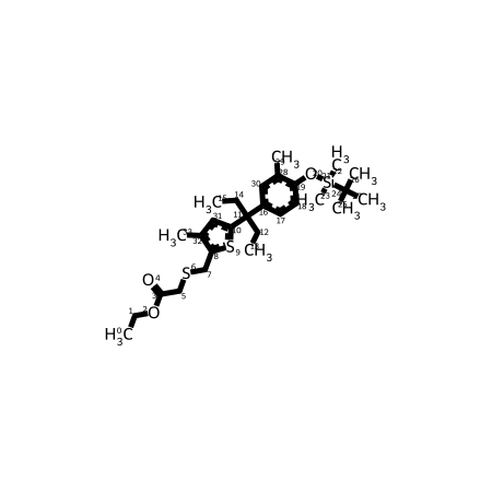 CCOC(=O)CSCc1sc(C(CC)(CC)c2ccc(O[Si](C)(C)C(C)(C)C)c(C)c2)cc1C